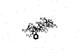 BCC(C)(O[Si](C)(C)C(C)(CC)C(C)(C)O[Si](C)(c1ccccc1)C(C)(CC)O[Si](C)(C)C=C)[Si](C)(C)C=C